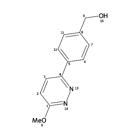 COc1ccc(-c2ccc(CO)cc2)nn1